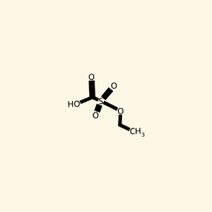 CCOS(=O)(=O)C(=O)O